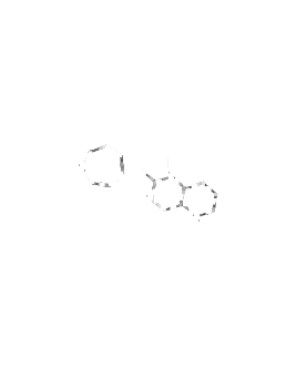 C1=CC=CNC=C1.O=c1ncc2ncccc2[nH]1